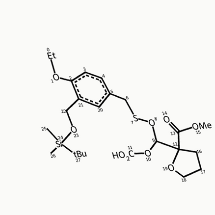 CCOc1ccc(CSOC(OC(=O)O)C2(C(=O)OC)CCCO2)cc1CO[Si](C)(C)C(C)(C)C